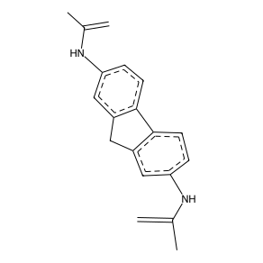 C=C(C)Nc1ccc2c(c1)Cc1cc(NC(=C)C)ccc1-2